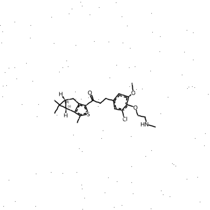 CNCCOc1c(Cl)cc(CCC(=O)c2sc(C)c3c2C[C@@H]2[C@H]3C2(C)C)cc1OC